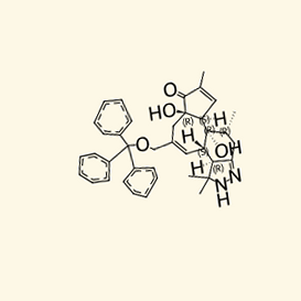 CC1=C[C@H]2[C@@]3(O)[C@H](C)CC4=NNC(C)(C)[C@H]4[C@@H]3C=C(COC(c3ccccc3)(c3ccccc3)c3ccccc3)C[C@]2(O)C1=O